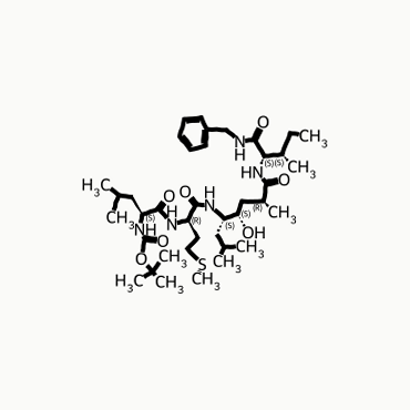 CC[C@H](C)[C@H](NC(=O)[C@H](C)C[C@H](O)[C@H](CC(C)C)NC(=O)[C@@H](CCSC)NC(=O)[C@H](CC(C)C)NC(=O)OC(C)(C)C)C(=O)NCc1ccccc1